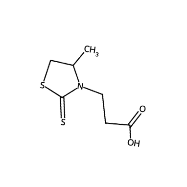 CC1CSC(=S)N1CCC(=O)O